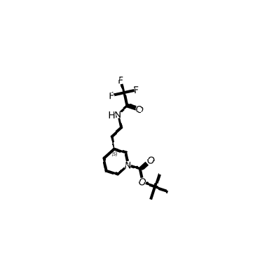 CC(C)(C)OC(=O)N1CCC[C@@H](CCNC(=O)C(F)(F)F)C1